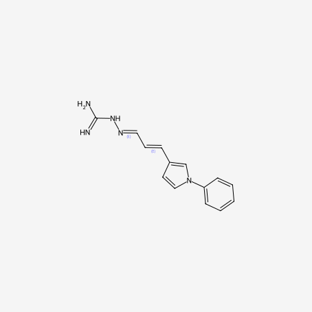 N=C(N)N/N=C/C=C/c1ccn(-c2ccccc2)c1